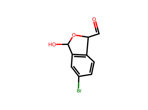 O=CC1OC(O)c2cc(Br)ccc21